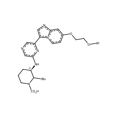 CC(C)OCCOc1ccn2c(-c3cncc(N[C@@H]4CCCN(C(=O)O)C4C(C)(C)C)n3)cnc2c1